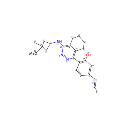 C/C=C/c1ccc(-c2nnc(NC3CC(C)(OC)C3)c3c2CCCC3)c(O)c1